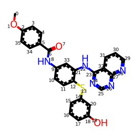 COc1ccc(C(=O)Nc2ccc(Sc3cccc(O)c3)c(Nc3ncnc4ncccc34)c2)cc1